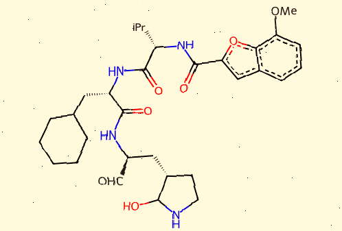 COc1cccc2cc(C(=O)N[C@H](C(=O)N[C@@H](CC3CCCCC3)C(=O)N[C@H](C=O)C[C@@H]3CCNC3O)C(C)C)oc12